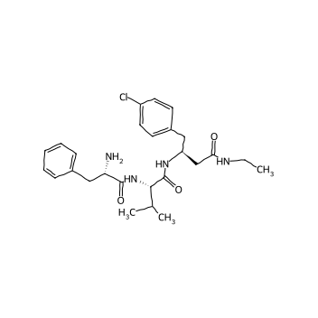 CCNC(=O)C[C@H](Cc1ccc(Cl)cc1)NC(=O)[C@@H](NC(=O)[C@@H](N)Cc1ccccc1)C(C)C